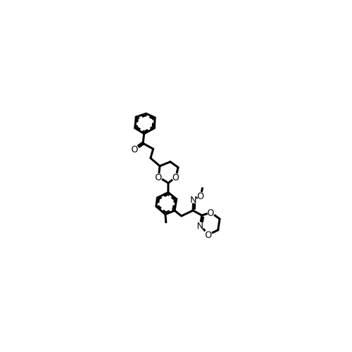 CON=C(Cc1cc(C2OCCC(CCC(=O)c3ccccc3)O2)ccc1C)C1=NOCCO1